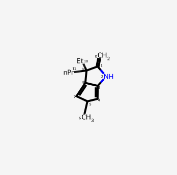 C=C1NC2=CC(C)C=C2C1(CC)CCC